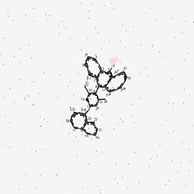 Bc1c2ccccc2c(-c2c(C)cc(-c3cccc4ccccc34)cc2C)c2ccccc12